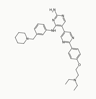 CCN(CC)CCOc1ccc(-c2ncc(-c3cnc(N)nc3Nc3cccc(CN4CCCCC4)c3)cn2)cc1